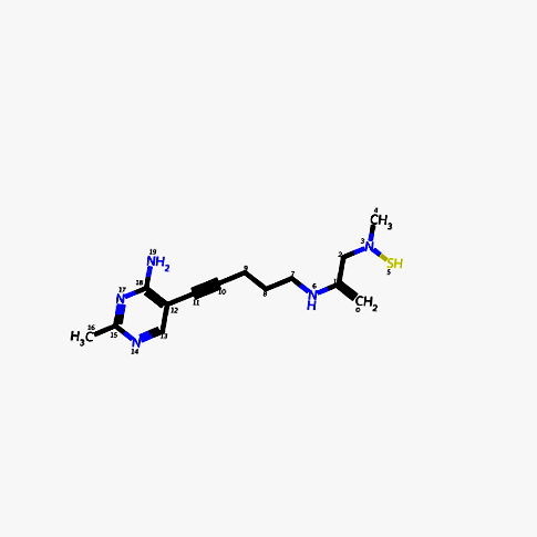 C=C(CN(C)S)NCCCC#Cc1cnc(C)nc1N